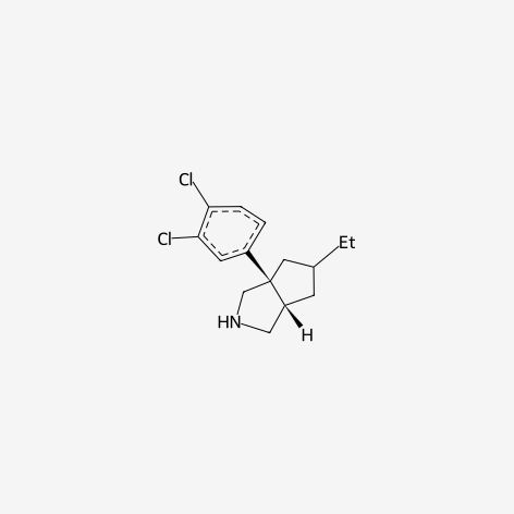 CCC1C[C@@H]2CNC[C@]2(c2ccc(Cl)c(Cl)c2)C1